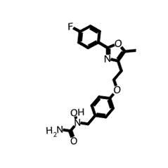 Cc1oc(-c2ccc(F)cc2)nc1CCOc1ccc(CN(O)C(N)=O)cc1